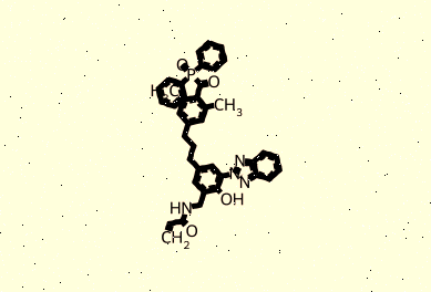 C=CC(=O)NCc1cc(CCCc2cc(C)c(C(=O)P(=O)(c3ccccc3)c3ccccc3)c(C)c2)cc(-n2nc3ccccc3n2)c1O